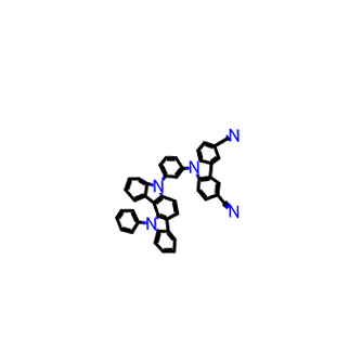 N#Cc1ccc2c(c1)c1cc(C#N)ccc1n2-c1cccc(-n2c3ccccc3c3c2ccc2c4ccccc4n(-c4ccccc4)c23)c1